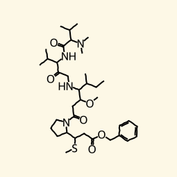 CCC(C)C(NCC(=O)C(NC(=O)C(C(C)C)N(C)C)C(C)C)C(CC(=O)N1CCCC1C(CC(=O)OCc1ccccc1)SC)OC